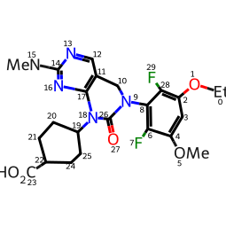 CCOc1cc(OC)c(F)c(N2Cc3cnc(NC)nc3N(C3CCC(C(=O)O)CC3)C2=O)c1F